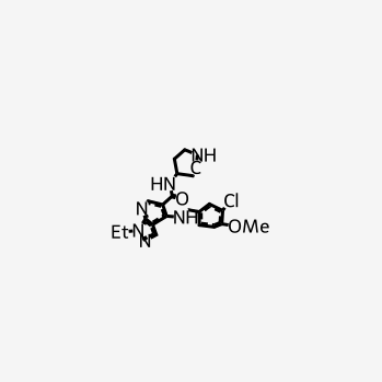 CCn1ncc2c(NCc3ccc(OC)c(Cl)c3)c(C(=O)NC3CCNCC3)cnc21